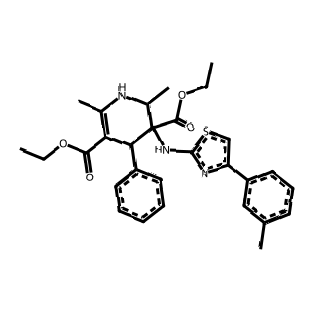 CCOC(=O)C1=C(C)NC(C)C(Nc2nc(-c3cccc(C)c3)cs2)(C(=O)OCC)C1c1ccccc1